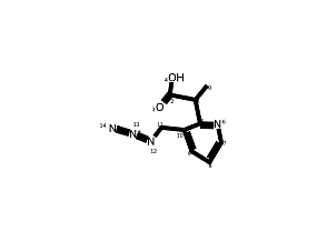 CC(C(=O)O)c1ncccc1CN=[N+]=[N-]